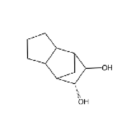 OC1C2CC(C3CCCC23)[C@H]1O